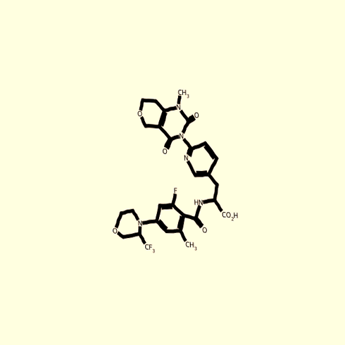 Cc1cc(N2CCOCC2C(F)(F)F)cc(F)c1C(=O)NC(Cc1ccc(-n2c(=O)c3c(n(C)c2=O)CCOC3)nc1)C(=O)O